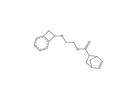 O=C(OCCOC1Cc2ccccc21)C1CC2C=CC1C2